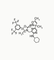 CC1=CC(C)(c2cnc(NC3CCCCC3)c(CN3C(=O)O[C@H](c4cc(C(F)(F)F)cc(C(F)(F)F)c4)[C@@H]3C)n2)NO1